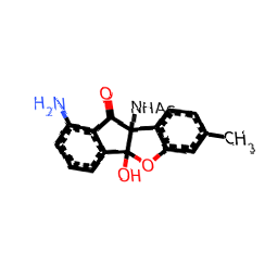 CC(=O)NC12C(=O)c3c(N)cccc3C1(O)Oc1cc(C)ccc12